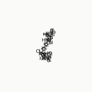 CC[C@@H](c1nc(Cl)c(-c2ccc(-c3ccc(-c4[nH]c([C@@H]5C[C@H]6CC6N5C(=O)[C@H](C)NC(=O)OC)nc4Cl)cc3)cc2)[nH]1)N(C(=O)[C@@H](NC(=O)OC)C1CCOCC1)C(C)C